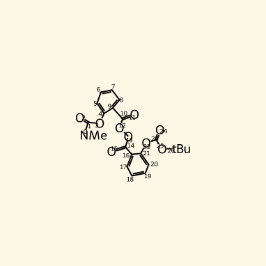 CNC(=O)Oc1ccccc1C(=O)OOC(=O)c1ccccc1OC(=O)OC(C)(C)C